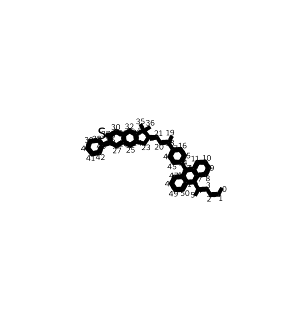 C/C=C\C=C(/C)c1c2ccccc2c(-c2ccc(/C(C)=C/C=C3\Cc4cc5cc6c(cc5cc4C3(C)C)sc3ccccc36)cc2)c2ccccc12